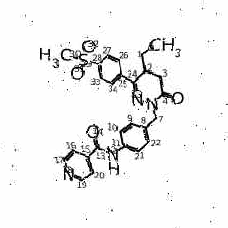 CCC1CC(=O)N(Cc2ccc(NC(=O)c3ccncc3)cc2)N=C1c1ccc(S(C)(=O)=O)cc1